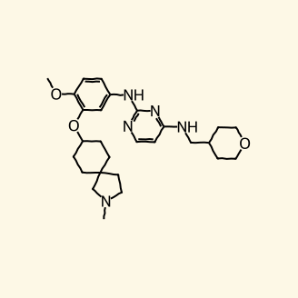 COc1ccc(Nc2nccc(NCC3CCOCC3)n2)cc1OC1CCC2(CC1)CCN(C)C2